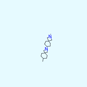 CC1CCC2(CC1)CN(C1CCC3(CC1)CN(C)C3)C2